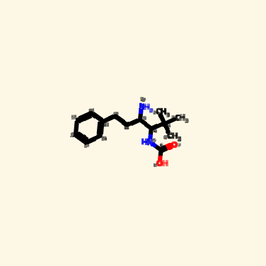 CC(C)(C)C(NC(=O)O)C(N)CCc1ccccc1